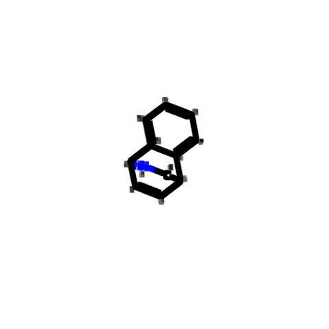 C1=CC2NCC1c1ccccc12